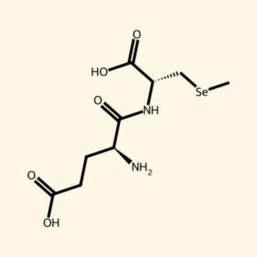 C[Se]C[C@H](NC(=O)[C@@H](N)CCC(=O)O)C(=O)O